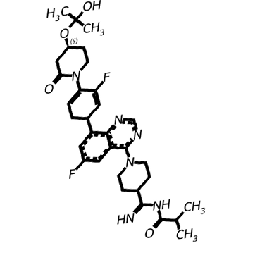 CC(C)C(=O)NC(=N)C1CCN(c2ncnc3c(C4C=C(F)C(N5CC[C@H](OC(C)(C)O)CC5=O)=CC4)cc(F)cc23)CC1